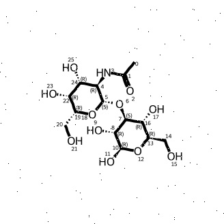 CC(=O)N[C@H]1[C@H](O[C@@H]2[C@@H](O)[C@H](O)O[C@H](CO)[C@H]2O)O[C@H](CO)[C@H](O)[C@@H]1O